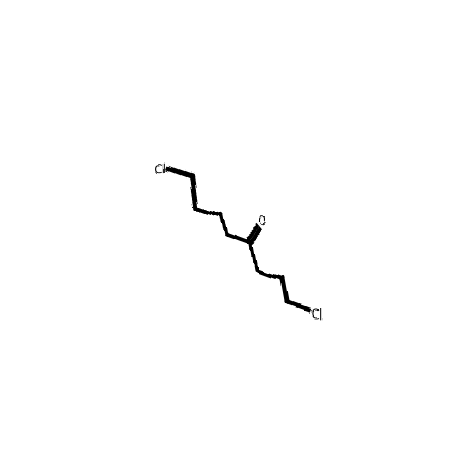 O=C(CCCCl)CCCCCl